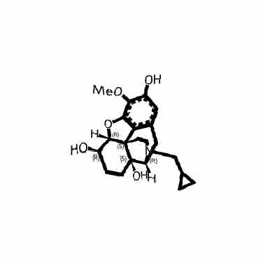 COc1c(O)cc2c3c1O[C@H]1[C@H](O)CC[C@@]4(O)[C@@H](C2)N(CC2CC2)CC[C@]314